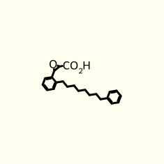 O=C(O)C1OC1c1ccccc1CCCCCCCCc1ccccc1